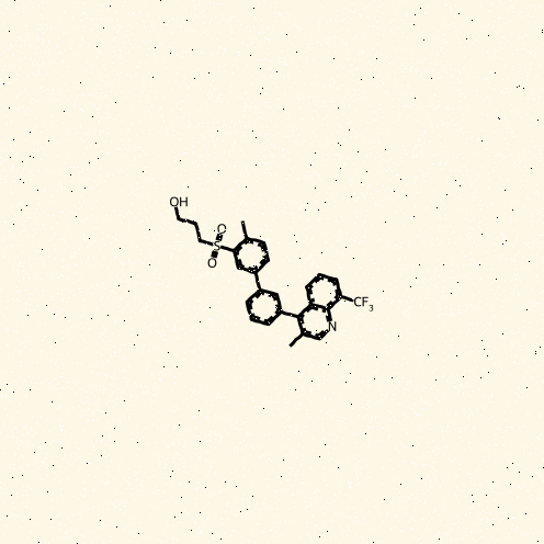 Cc1ccc(-c2cccc(-c3c(C)cnc4c(C(F)(F)F)cccc34)c2)cc1S(=O)(=O)CCCO